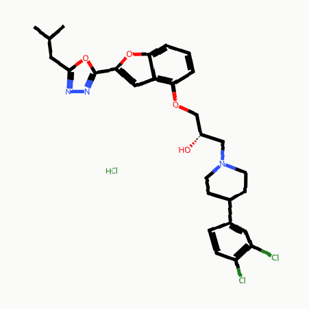 CC(C)Cc1nnc(-c2cc3c(OC[C@@H](O)CN4CCC(c5ccc(Cl)c(Cl)c5)CC4)cccc3o2)o1.Cl